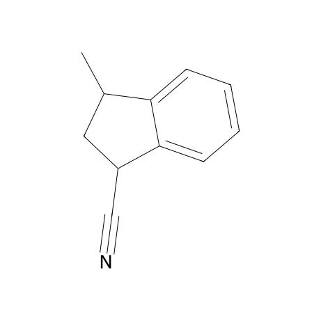 CC1CC(C#N)c2ccccc21